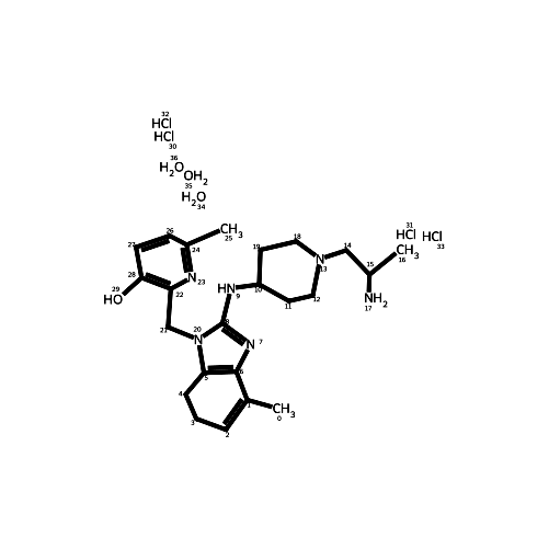 CC1=CCCc2c1nc(NC1CCN(CC(C)N)CC1)n2Cc1nc(C)ccc1O.Cl.Cl.Cl.Cl.O.O.O